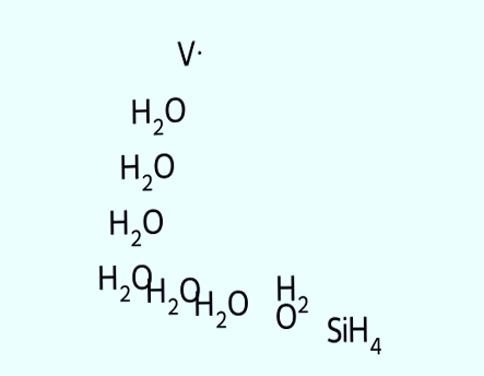 O.O.O.O.O.O.O.[SiH4].[V]